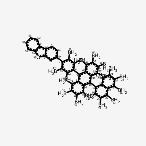 Bc1c(B)c(-c2c3c(B)c(B)c(B)c(B)c3c(-c3c(B)c(B)c(B)c4c(B)c(B)c(B)c(B)c34)c3c(B)c(B)c(B)c(B)c23)c(B)c(B)c1-c1ccc2c(c1)oc1ccccc12